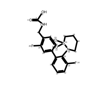 O=C(O)NCc1ccc(-c2cccc(F)c2N2CCCCS2(O)O)cc1F